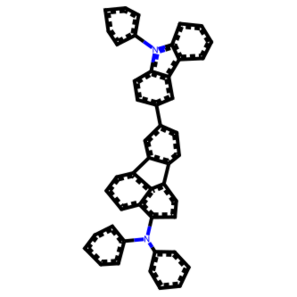 c1ccc(N(c2ccccc2)c2ccc3c4c(cccc24)-c2cc(-c4ccc5c(c4)c4ccccc4n5-c4ccccc4)ccc2-3)cc1